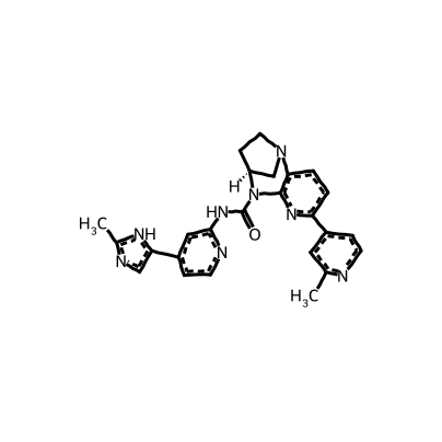 Cc1cc(-c2ccc3c(n2)N(C(=O)Nc2cc(-c4cnc(C)[nH]4)ccn2)[C@H]2CCN3C2)ccn1